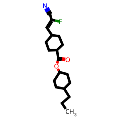 CCCC1CCC(OC(=O)C2CCC(C=C(F)C#N)CC2)CC1